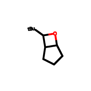 CC(C)(C)C1OC2CCCC21